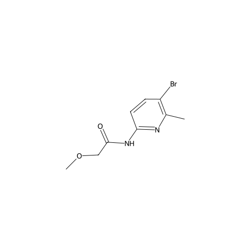 COCC(=O)Nc1ccc(Br)c(C)n1